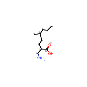 CCCC(C)CCC(CN)C(=O)O